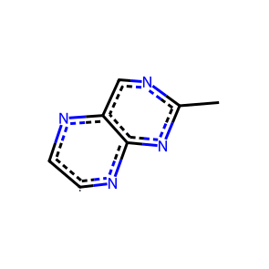 Cc1ncc2nc[c]nc2n1